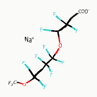 O=C([O-])C(F)(F)C(F)OC(F)(F)C(F)(F)C(F)(F)OC(F)(F)F.[Na+]